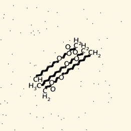 C=CC(=O)OCCOCCCCCCCCC.C=CC(=O)OCCOCCCCCCCCCC.C=CCCCCCCCCCOCCOC(=O)C=C